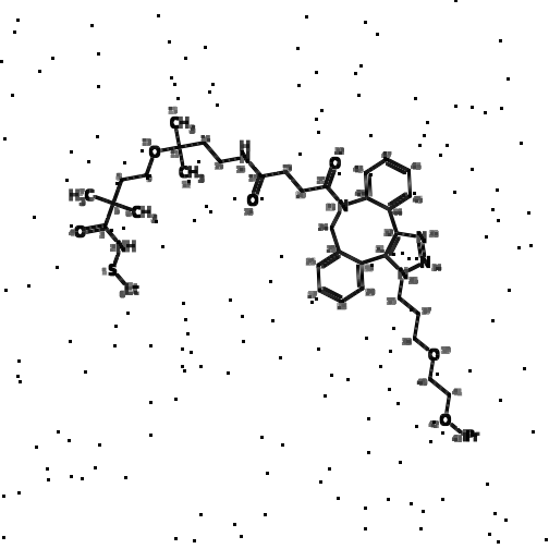 CCSNC(=O)C(C)(C)CCOC(C)(C)CCNC(=O)CCC(=O)N1Cc2ccccc2-c2c(nnn2CCCOCCOC(C)C)-c2ccccc21